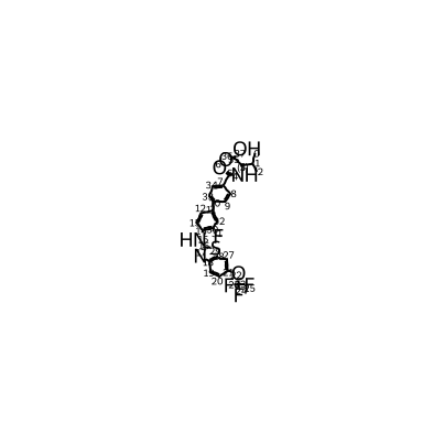 CC(C)[C@H](NC(=O)c1ccc(-c2ccc(Nc3nc4ccc(OC(F)(F)F)cc4s3)c(F)c2)cc1)C(=O)O